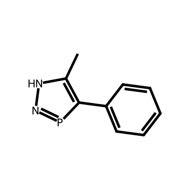 Cc1[nH]npc1-c1ccccc1